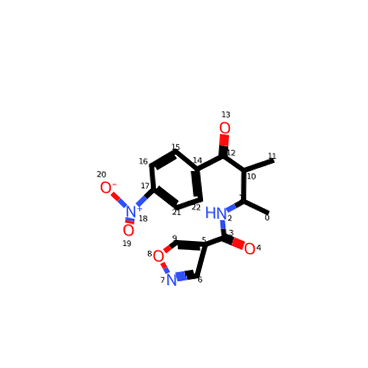 CC(NC(=O)c1cnoc1)C(C)C(=O)c1ccc([N+](=O)[O-])cc1